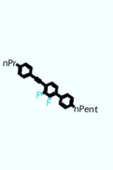 CCCCCc1ccc(-c2ccc(C#Cc3ccc(CCC)cc3)c(F)c2F)cc1